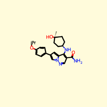 CC(C)Oc1ccc(-c2cc3c(N[C@H]4CC[C@@](C)(O)CC4)c(C(N)=O)cnn3c2)cc1